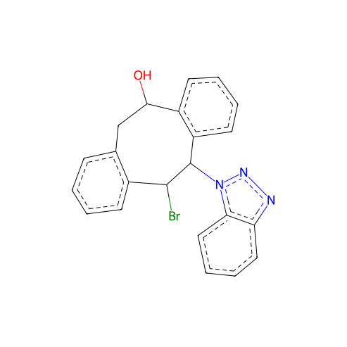 OC1Cc2ccccc2C(Br)C(n2nnc3ccccc32)c2ccccc21